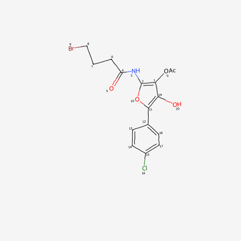 CC(=O)Oc1c(NC(=O)CCCBr)oc(-c2ccc(Cl)cc2)c1O